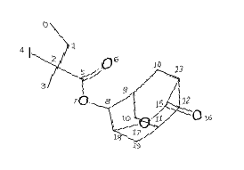 CCC(C)(I)C(=O)OC1C2CC3CC(C2)C(=O)OC1C3